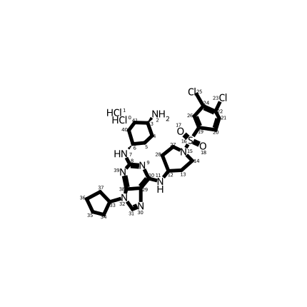 Cl.Cl.N[C@H]1CC[C@H](Nc2nc(NC3CCN(S(=O)(=O)c4ccc(Cl)c(Cl)c4)CC3)c3ncn(C4CCCC4)c3n2)CC1